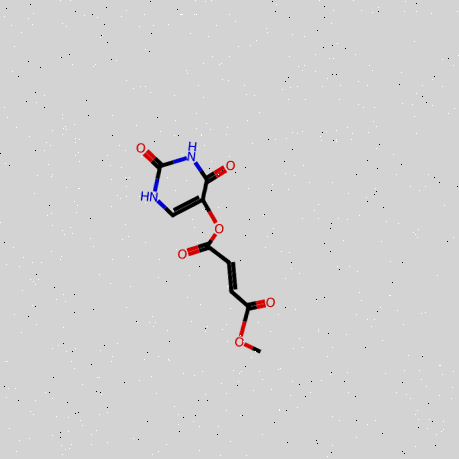 COC(=O)/C=C/C(=O)Oc1c[nH]c(=O)[nH]c1=O